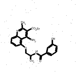 CCOC(=O)c1c(C)nc2cccc(OCC(C)NC(=O)c3cccc(O)c3)c2c1N